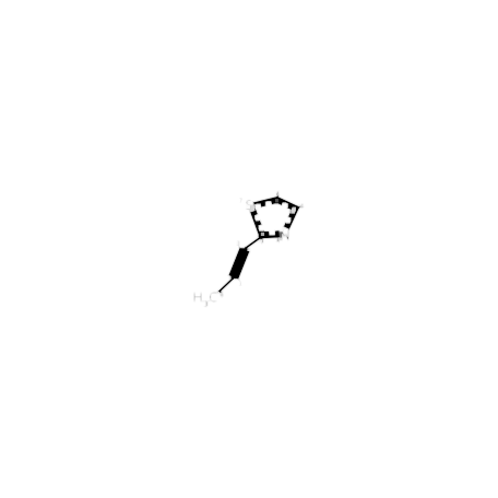 CC#Cc1nccs1